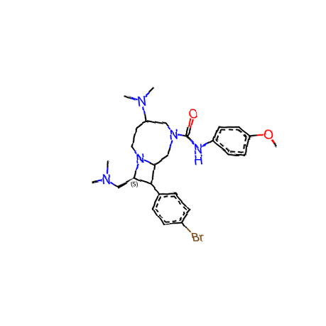 COc1ccc(NC(=O)N2CC(N(C)C)CCN3C(C2)C(c2ccc(Br)cc2)[C@H]3CN(C)C)cc1